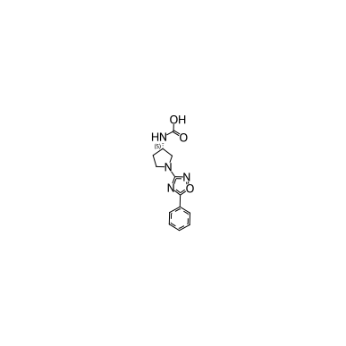 O=C(O)N[C@H]1CCN(c2noc(-c3ccccc3)n2)C1